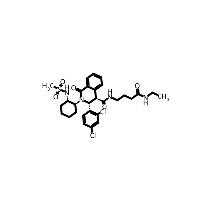 CCNC(=O)CCCNC(=O)[C@@H]1c2ccccc2C(=O)N([C@H]2CCCC[C@@H]2NS(C)(=O)=O)[C@H]1c1ccc(Cl)cc1Cl